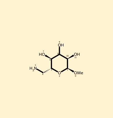 CO[C@H]1O[C@H](CN)[C@@H](O)C(O)[C@H]1O